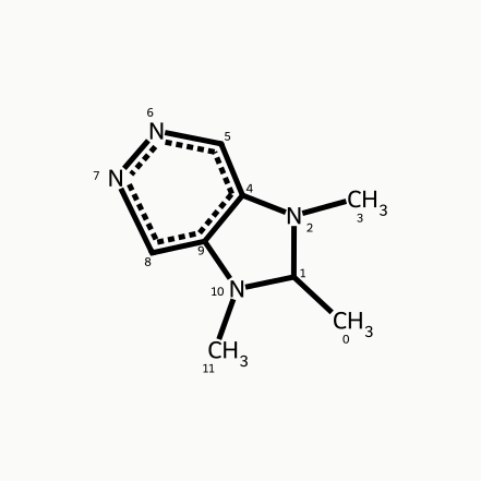 CC1N(C)c2cnncc2N1C